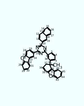 CC1(c2cccc(-c3nc(-c4ccc5ccccc5c4)nc(-c4ccc5oc6ccccc6c5c4)n3)c2)CC=Cc2oc3ccccc3c21